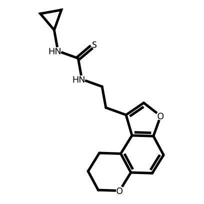 S=C(NCCc1coc2ccc3c(c12)CCCO3)NC1CC1